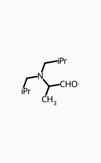 CC(C)CN(CC(C)C)C(C)[C]=O